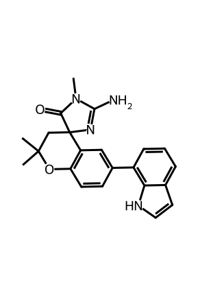 CN1C(=O)C2(CC(C)(C)Oc3ccc(-c4cccc5cc[nH]c45)cc32)N=C1N